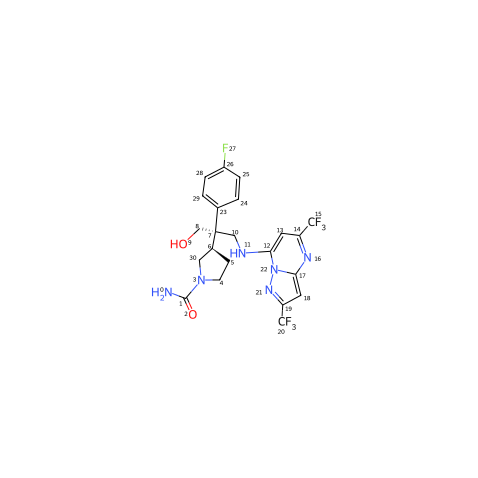 NC(=O)N1CC[C@H]([C@](CO)(CNc2cc(C(F)(F)F)nc3cc(C(F)(F)F)nn23)c2ccc(F)cc2)C1